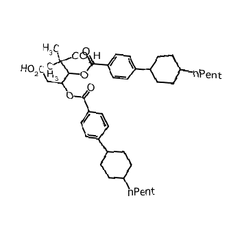 CCCCCC1CCC(c2ccc(C(=O)OC(CC(=O)O)C(OC(=O)c3ccc(C4CCC(CCCCC)CC4)cc3)C(C)(C)C(=O)O)cc2)CC1